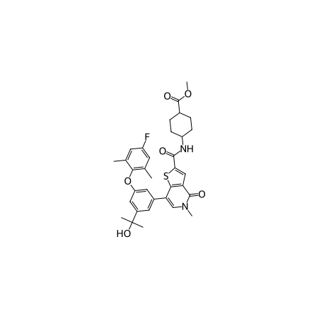 COC(=O)C1CCC(NC(=O)c2cc3c(=O)n(C)cc(-c4cc(Oc5c(C)cc(F)cc5C)cc(C(C)(C)O)c4)c3s2)CC1